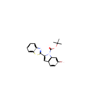 CC(C)(C)OC(=O)n1c(-c2nc3ccccc3s2)cc2ccc(Br)cc21